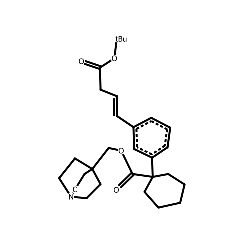 CC(C)(C)OC(=O)CC=Cc1cccc(C2(C(=O)OCC34CCN(CC3)CC4)CCCCC2)c1